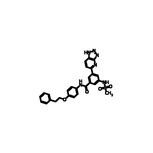 CS(=O)(=O)Nc1cc(C(=O)Nc2ccc(OCCc3ccccc3)cc2)cc(-c2ccc3[nH]nnc3n2)c1